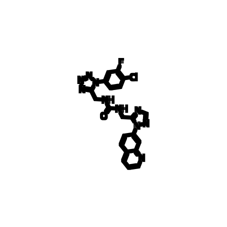 O=C(NCc1ncnn1-c1ccc2cccnc2c1)NCc1nnnn1-c1ccc(Cl)c(F)c1